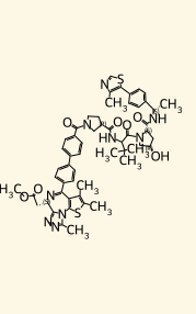 COC(=O)C[C@@H]1N=C(c2ccc(-c3ccc(C(=O)N4CC[C@@H](C(=O)NC(C(=O)N5C[C@H](O)C[C@H]5C(=O)N[C@@H](C)c5ccc(-c6scnc6C)cc5)C(C)(C)C)C4)cc3)cc2)c2c(sc(C)c2C)-n2c(C)nnc21